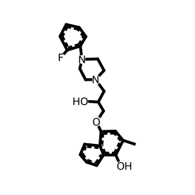 Cc1cc(OCC(O)CN2CCN(c3ccccc3F)CC2)c2ccccc2c1O